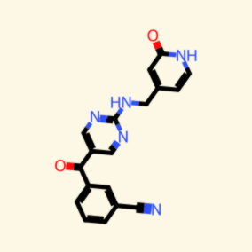 N#Cc1cccc(C(=O)c2cnc(NCc3cc[nH]c(=O)c3)nc2)c1